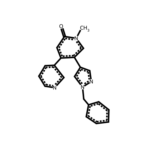 Cn1cc(-c2cnn(Cc3ccccc3)c2)c(-c2cccnc2)cc1=O